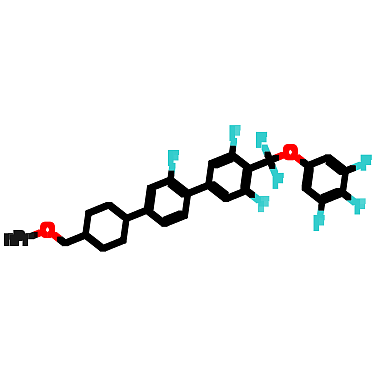 CCCOCC1CCC(c2ccc(-c3cc(F)c(C(F)(F)Oc4cc(F)c(F)c(F)c4)c(F)c3)c(F)c2)CC1